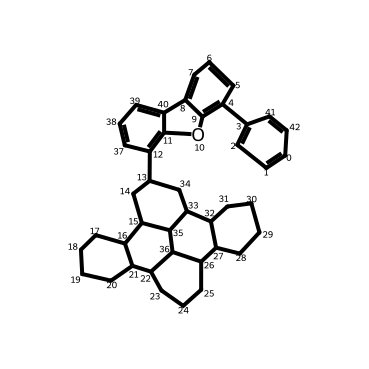 c1ccc(-c2cccc3c2oc2c(C4CC5C6CCCCC6C6CCCC7C8CCCCC8C(C4)C5C67)cccc23)cc1